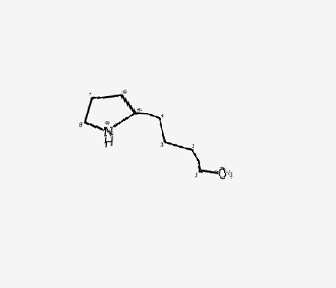 [O]CCCCC1CCCN1